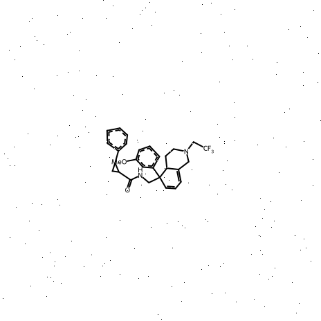 COc1cccc(C2(CNC(=O)C3CC3c3ccccc3)C=CC=C3CN(CC(F)(F)F)CCC32)c1